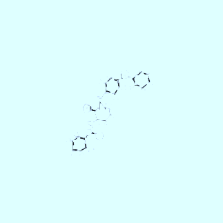 O=C(SC1CCCN(Cc2ccc(Oc3ccccc3)cc2)C1=O)c1ccccc1